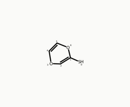 SC1=COC=CO1